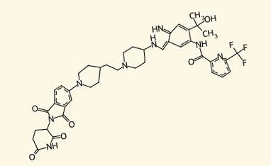 CC(C)(O)C1=CC(=N)/C(=C\NC2CCN(CCC3CCN(c4ccc5c(c4)C(=O)N(C4CCC(=O)NC4=O)C5=O)CC3)CC2)C=C1NC(=O)c1cccc(C(F)(F)F)n1